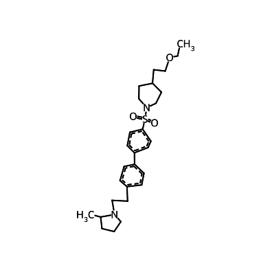 CCOCCC1CCN(S(=O)(=O)c2ccc(-c3ccc(CCN4CCCC4C)cc3)cc2)CC1